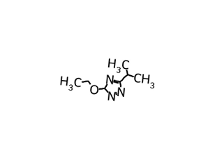 CCOC1N=NC(C(C)C)=N1